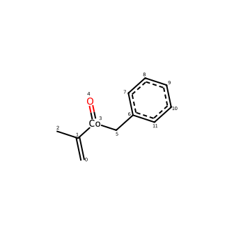 C=[C](C)[Co](=[O])[CH2]c1ccccc1